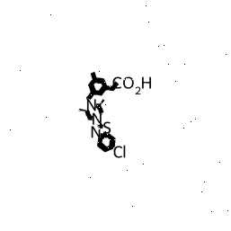 Cc1cc(CC(=O)O)cc(CN2[C@H](C)CN(c3nc4ccc(Cl)cc4s3)C[C@@H]2C)c1